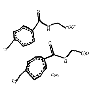 O=C([O-])CNC(=O)c1ccc(Cl)cc1.O=C([O-])CNC(=O)c1ccc(Cl)cc1.[Ca+2]